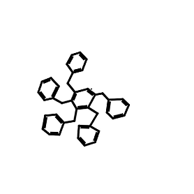 [c]1c(Cc2ccccc2)c(Cc2ccccc2)c(Cc2ccccc2)c(Cc2ccccc2)c1Cc1ccccc1